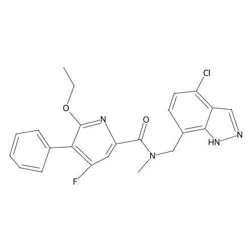 CCOc1nc(C(=O)N(C)Cc2ccc(Cl)c3cn[nH]c23)cc(F)c1-c1ccccc1